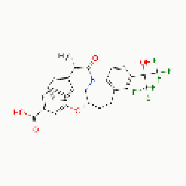 C[C@H](C(=O)N1C[C@@H](Oc2cccc(C(=O)O)c2)CCc2cc(C(O)(C(F)(F)F)C(F)(F)F)ccc21)c1ccccc1